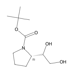 CC(C)(C)OC(=O)N1CCC[C@H]1C(O)CO